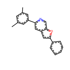 Cc1cc(C)cc(-c2cc3cc(-c4ccccc4)oc3cn2)c1